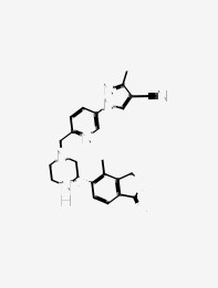 Cc1nn(-c2ccc(CN3CCN[C@H](c4ccc5c(c4C)COC5=O)C3)nc2)cc1C#N